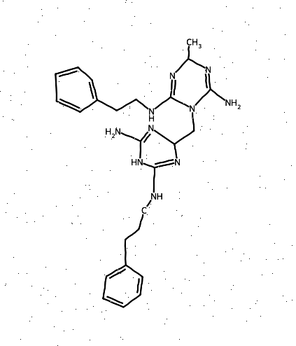 CC1N=C(N)N(CC2N=C(N)NC(NCCCc3ccccc3)=N2)C(NCCc2ccccc2)=N1